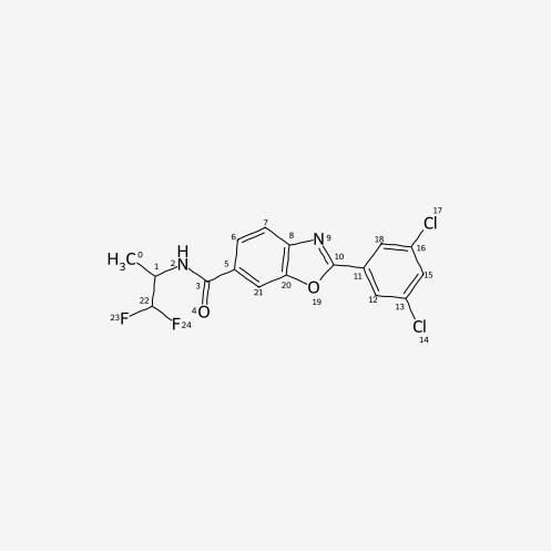 CC(NC(=O)c1ccc2nc(-c3cc(Cl)cc(Cl)c3)oc2c1)C(F)F